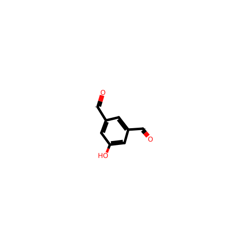 O=[C]c1cc(O)cc([C]=O)c1